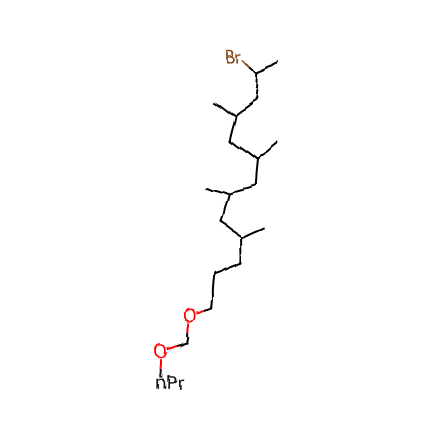 CCCOCOCCCC(C)CC(C)CC(C)CC(C)CC(C)Br